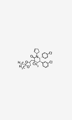 CC1(C)OCC(CC2(C)C[C@H](c3cccc(Cl)c3)[C@@H](c3ccc(Cl)cc3)N(C3C=CCC3)C2=O)O1